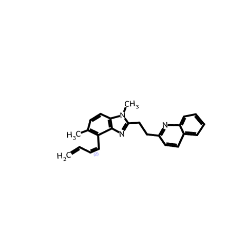 C=C/C=C\c1c(C)ccc2c1nc(CCc1ccc3ccccc3n1)n2C